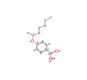 CCCCCC(C)Oc1ccc(C(=O)O)cc1